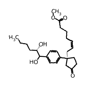 CCCC[C@H](O)C(O)c1ccc([C@@]2(C/C=C\CCCC(=O)OC)CCC(=O)C2)cc1